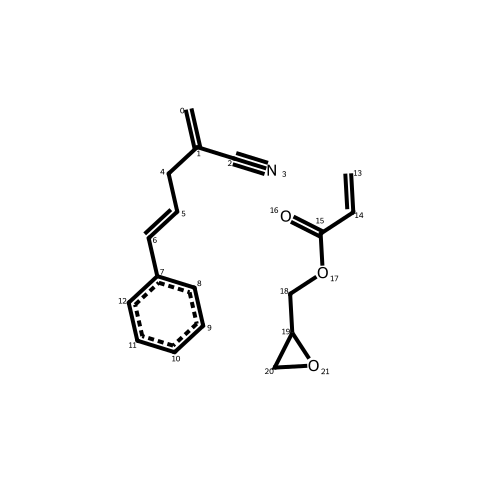 C=C(C#N)CC=Cc1ccccc1.C=CC(=O)OCC1CO1